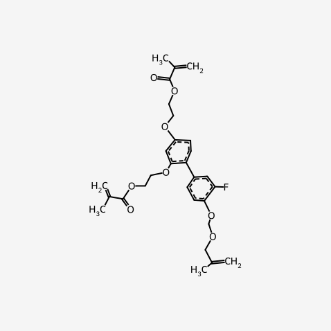 C=C(C)COCOc1ccc(-c2ccc(OCCOC(=O)C(=C)C)cc2OCCOC(=O)C(=C)C)cc1F